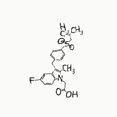 Cc1c(Cc2ccc(S(=O)(=O)CC(C)C)cc2)c2cc(F)ccc2n1CC(=O)O